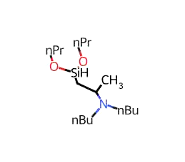 CCCCN(CCCC)C(C)C[SiH](OCCC)OCCC